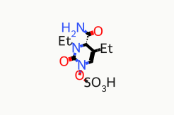 CCC1=CN(OS(=O)(=O)O)C(=O)N(CC)[C@@H]1C(N)=O